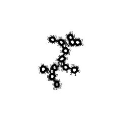 c1ccc(-c2ccc3c(c2)c2cc(-c4ccc5c(c4)c4cc(-c6ccccc6)ccc4n5-c4cc5ccccc5c5ccccc45)ccc2n3-c2ccc3c(c2)c2cc(-c4ccccc4)ccc2n3-c2ccccc2)cc1